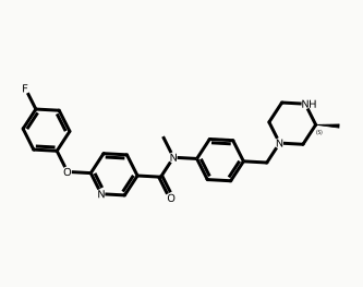 C[C@H]1CN(Cc2ccc(N(C)C(=O)c3ccc(Oc4ccc(F)cc4)nc3)cc2)CCN1